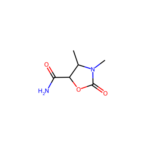 CC1C(C(N)=O)OC(=O)N1C